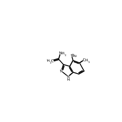 C=C(N)c1n[nH]c2ccc(C)c(C(C)(C)C)c12